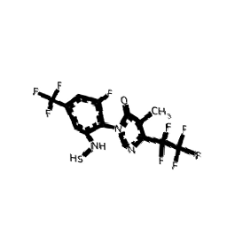 Cc1c(C(F)(F)C(F)(F)F)ncn(-c2c(F)cc(C(F)(F)F)cc2NS)c1=O